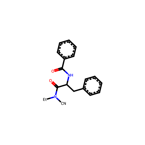 CCN(C#N)C(=O)C(Cc1ccccc1)NC(=O)c1ccccc1